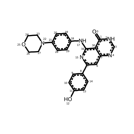 O=c1[nH]cnc2cc(-c3ccc(O)cc3)nc(Nc3ccc(N4CCOCC4)cc3)c12